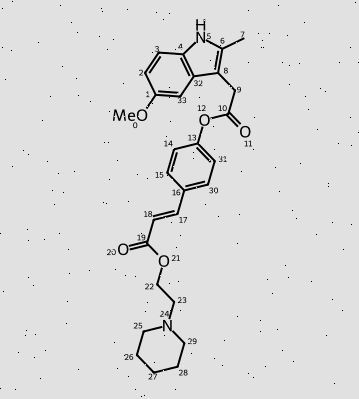 COc1ccc2[nH]c(C)c(CC(=O)Oc3ccc(C=CC(=O)OCCN4CCCCC4)cc3)c2c1